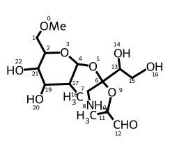 COCC1OC(OC(CN)(OC(C)C=O)C(O)CO)C(C)C(O)C1O